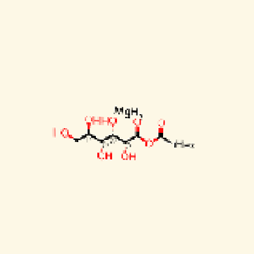 CCCCCCC(=O)OC(=O)[C@H](O)[C@@H](O)[C@H](O)[C@H](O)CO.[MgH2]